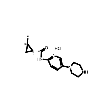 Cl.O=C(Nc1ccc(N2CCNCC2)cn1)[C@@H]1C[C@H]1F